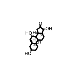 C[C@]12CC[C@H]3[C@@H]([C@@H](O)C=C4C[C@H](O)CC[C@@]43C)[C@@H]1CC(=O)[C@@H]2O